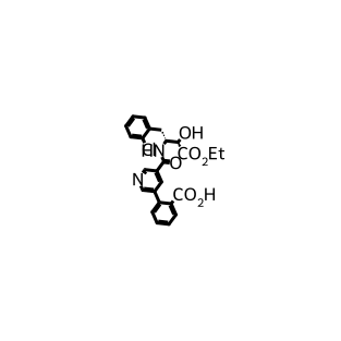 CCOC(=O)[C@H](O)[C@@H](Cc1ccccc1Cl)NC(=O)c1cncc(-c2ccccc2C(=O)O)c1